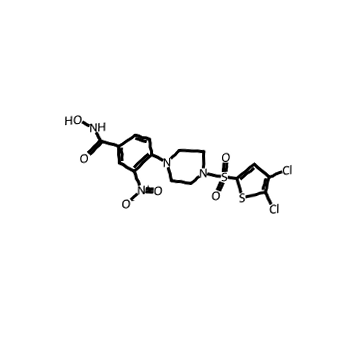 O=C(NO)c1ccc(N2CCN(S(=O)(=O)c3cc(Cl)c(Cl)s3)CC2)c([N+](=O)[O-])c1